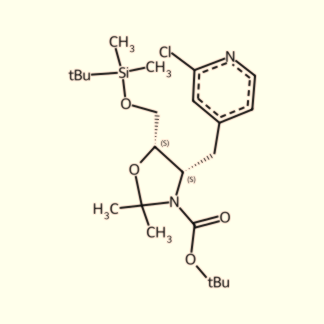 CC(C)(C)OC(=O)N1[C@@H](Cc2ccnc(Cl)c2)[C@@H](CO[Si](C)(C)C(C)(C)C)OC1(C)C